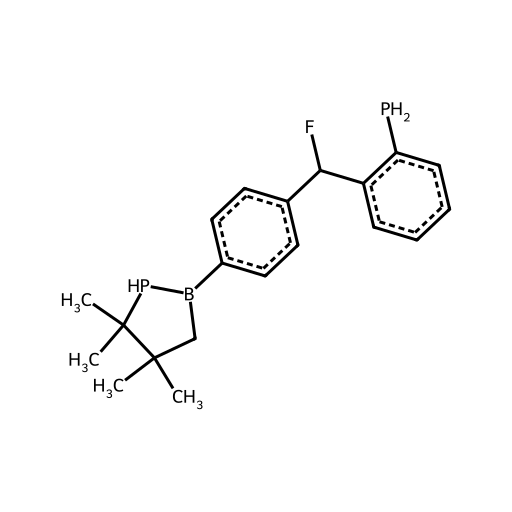 CC1(C)CB(c2ccc(C(F)c3ccccc3P)cc2)PC1(C)C